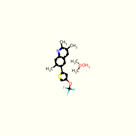 COC.Cc1cc2nc(C)c(C)cc2cc1-c1cc(OC(F)(F)F)cs1.O